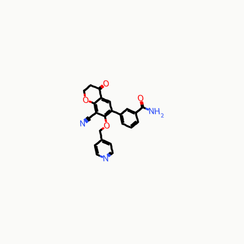 N#Cc1c2c(cc(-c3cccc(C(N)=O)c3)c1OCc1ccncc1)C(=O)CCO2